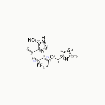 C=C(/C=C(\C=C(/C)OCc1csc(C)n1)C(F)(F)F)c1nn[nH]c1C#N